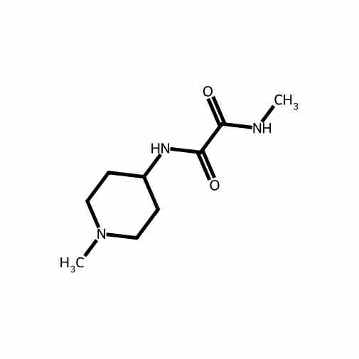 CNC(=O)C(=O)NC1CCN(C)CC1